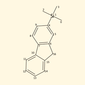 C[Si](C)(C)c1[c]c2c(cc1)-c1ccccc1C2